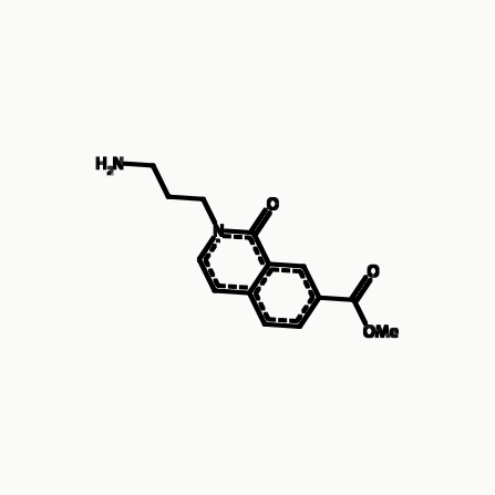 COC(=O)c1ccc2ccn(CCCN)c(=O)c2c1